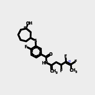 C=C(CC(F)/C(F)=C(\C)F)NC(=O)c1ccc(F)c(SC2CCCC[C@@H](O)C2)c1